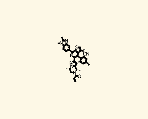 C=CC(=O)N1C[C@H](C)n2nc(-c3nc(-c4ccc5c(c4)nc(C)n5C)c4scc(F)c4c3-c3c(F)cc(F)cc3C#N)cc2[C@H]1C